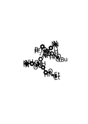 CC(C)(C)OC(=O)NC[C@H]1CC[C@H](C(=O)N(c2ccc(-c3nnn[nH]3)cc2)[C@@H](Cc2cccc(Br)c2)C(N)=O)CC1.CCN(CC)CCNC(=O)c1cccc(-c2cccc(C[C@H](NC(=O)[C@H]3CC[C@H](CNC(=O)O)CC3)C(=O)Nc3ccc(-c4nnn[nH]4)cc3)c2)c1